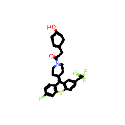 O=C(CC1CCC(O)CC1)N1CCC(=C2c3ccc(F)cc3Sc3ccc(C(F)(F)F)cc32)CC1